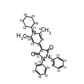 CC1=CC(=C2C(=O)N(c3ccccc3)N(c3ccccc3)C2=O)C=C(C)N1C1CCCCC1